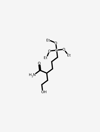 CCO[Si](CCCC(CCO)C(N)=O)(OCC)OCC